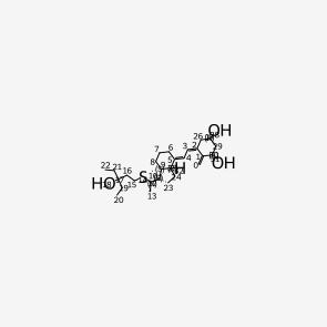 C=C1C(=CC=C2CCC[C@]3(C)[C@@H]([C@@H](C)SCCC(O)(CC)CC)CC[C@@H]23)C[C@@H](O)C[C@@H]1O